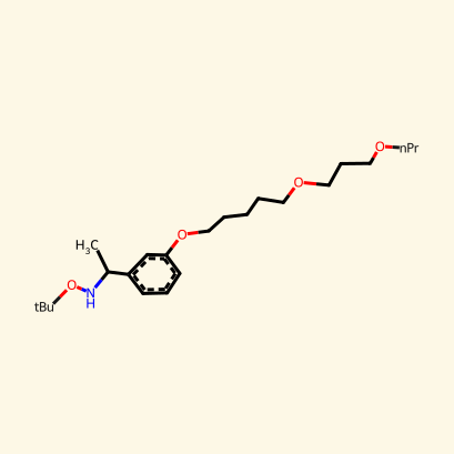 CCCOCCCOCCCCCOc1cccc(C(C)NOC(C)(C)C)c1